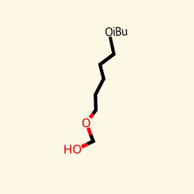 CC(C)COCCCCCOCO